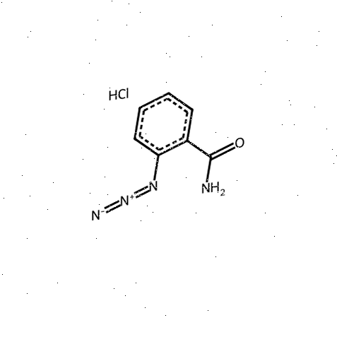 Cl.[N-]=[N+]=Nc1ccccc1C(N)=O